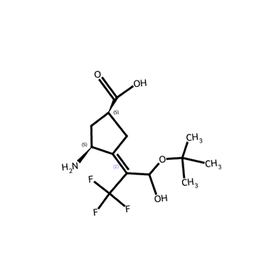 CC(C)(C)OC(O)/C(=C1\C[C@H](C(=O)O)C[C@@H]1N)C(F)(F)F